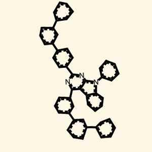 c1ccc(-c2cccc(-c3ccc(-c4nc(-c5cccc(-c6cccc(-c7ccccc7)c6)c5)c5c6ccccc6n(-c6ccccc6)c5n4)cc3)c2)cc1